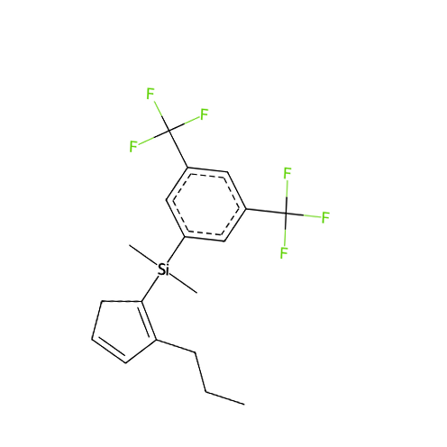 CCCC1=C([Si](C)(C)c2cc(C(F)(F)F)cc(C(F)(F)F)c2)CC=C1